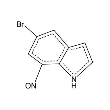 O=Nc1cc(Br)cc2cc[nH]c12